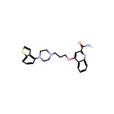 NC(=O)c1cc(OCCCN2CCN(c3cccc4sccc34)CC2)c2ccccc2n1